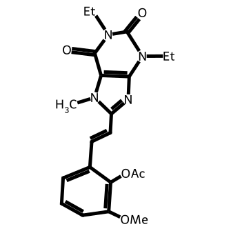 CCn1c(=O)c2c(nc(C=Cc3cccc(OC)c3OC(C)=O)n2C)n(CC)c1=O